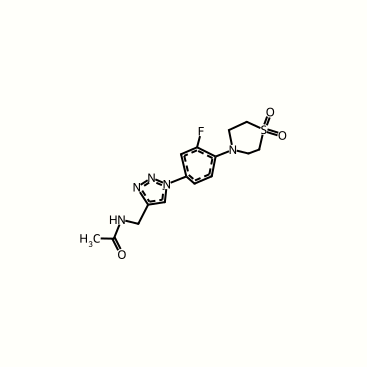 CC(=O)NCc1cn(-c2ccc(N3CCS(=O)(=O)CC3)c(F)c2)nn1